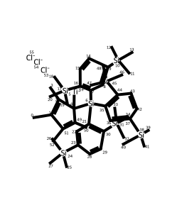 CC1=C(C)[C]([Ti+3])([Si](c2cc([Si](C)(C)C)ccc2[Si](C)(C)C)(c2cc([Si](C)(C)C)ccc2[Si](C)(C)C)c2cc([Si](C)(C)C)ccc2[Si](C)(C)C)C(C)=C1C.[Cl-].[Cl-].[Cl-]